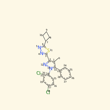 Cc1c(-c2nnc(C3CCC3)s2)nn(-c2ccc(Cl)cc2Cl)c1-c1ccccc1